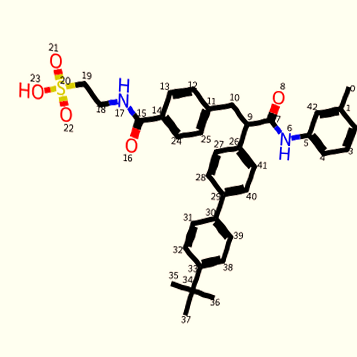 Cc1cccc(NC(=O)C(Cc2ccc(C(=O)NCCS(=O)(=O)O)cc2)c2ccc(-c3ccc(C(C)(C)C)cc3)cc2)c1